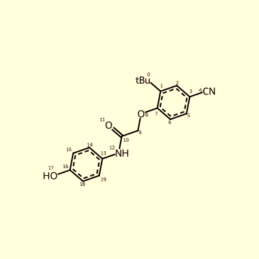 CC(C)(C)c1cc(C#N)ccc1OCC(=O)Nc1ccc(O)cc1